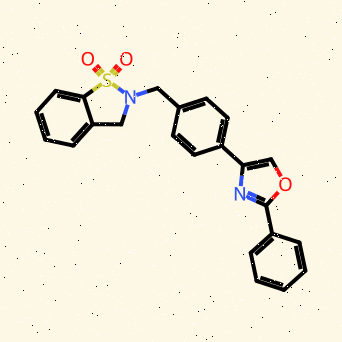 O=S1(=O)c2ccccc2CN1Cc1ccc(-c2coc(-c3ccccc3)n2)cc1